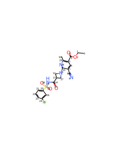 CCOC(=O)c1cc(C#N)c(N2CC(C(=O)NS(=O)(=O)c3cccc(F)c3)C2)nc1C